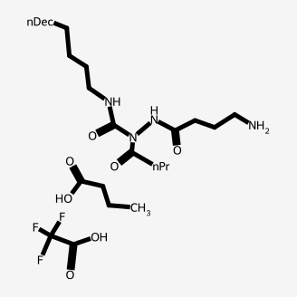 CCCC(=O)O.CCCCCCCCCCCCCCNC(=O)N(NC(=O)CCCN)C(=O)CCC.O=C(O)C(F)(F)F